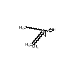 CCCCCCCCCCCCCCNC(CCN1CCNCC1)CN(CCCCCCCCCCCCCC)CCCCCCCCCCCCCC